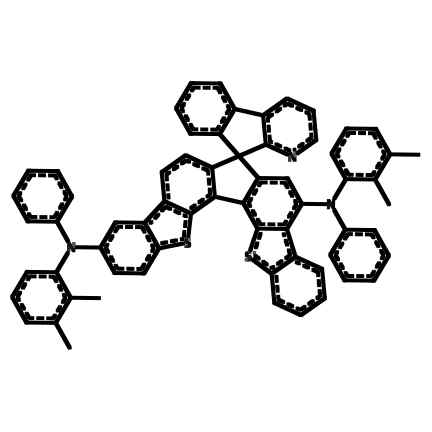 Cc1cccc(N(c2ccccc2)c2ccc3sc4c5c(ccc4c3c2)C2(c3ccccc3-c3cccnc32)c2cc(N(c3ccccc3)c3cccc(C)c3C)c3c(sc4ccccc43)c2-5)c1C